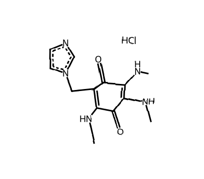 CNC1=C(Cn2ccnc2)C(=O)C(NC)=C(NC)C1=O.Cl